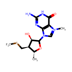 C[C@H]1OC(n2c[n+](C)c3c(=O)[nH]c(N)nc32)[C@H](O)[C@@H]1CSC(F)(F)F